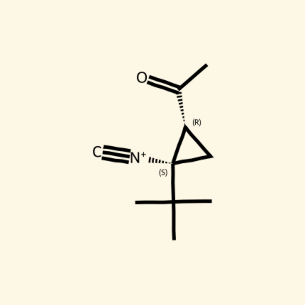 [C-]#[N+][C@@]1(C(C)(C)C)C[C@H]1C(C)=O